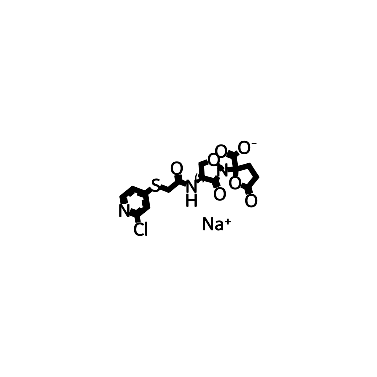 O=C(CSc1ccnc(Cl)c1)N[C@H]1CON(C2(C(=O)[O-])CCC(=O)O2)C1=O.[Na+]